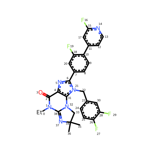 CCN1C(=O)c2nc(-c3ccc(-c4ccnc(F)c4)c(F)c3)n(Cc3ccc(F)c(F)c3)c2N2CC(C)(C)N=C12